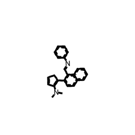 CN(C)C1=C(c2ccc3ccccc3c2/C=N/c2ccccc2)CC=C1